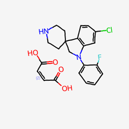 Fc1ccccc1N1CC2(CCNCC2)c2ccc(Cl)cc21.O=C(O)/C=C\C(=O)O